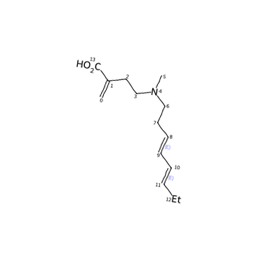 C=C(CCN(C)CC/C=C/C=C/CC)C(=O)O